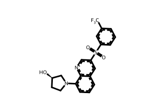 O=S(=O)(c1cccc(C(F)(F)F)c1)c1cnc2c(N3CC[C@@H](O)C3)cccc2c1